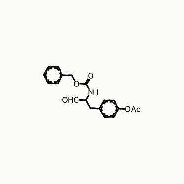 CC(=O)Oc1ccc(CC([C]=O)NC(=O)OCc2ccccc2)cc1